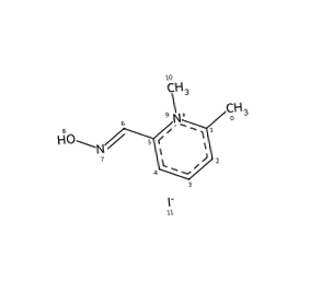 Cc1cccc(/C=N/O)[n+]1C.[I-]